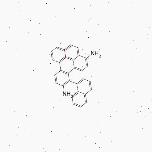 Nc1ccc(-c2ccccc2)c(-c2ccc(N)c3ccccc23)c1-c1cccc2ccccc12